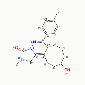 Cc1ccc(C2=NN3C(=O)N(C)CC3=C3CCC(O)CCCC23)cc1